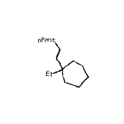 [CH2]CC1(CCCCCCC)CCCCC1